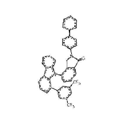 O=C1c2cccc(-n3c4ccccc4c4cccc(-c5cc(C(F)(F)F)cc(C(F)(F)F)c5)c43)c2CN1c1ccc(-c2ccccc2)cc1